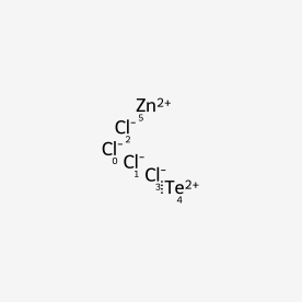 [Cl-].[Cl-].[Cl-].[Cl-].[Te+2].[Zn+2]